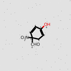 O=CC1([N+](=O)[O-])C=CC(O)=CC1